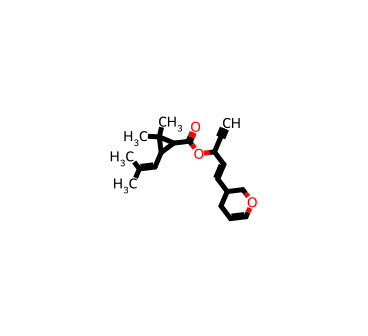 C#CC(C=CC1CC=COC1)OC(=O)C1C(C=C(C)C)C1(C)C